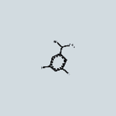 CC(Br)c1cc(F)cc(F)c1